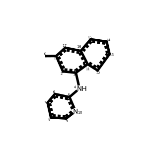 Cc1cc(Nc2ccccn2)c2ccccc2c1